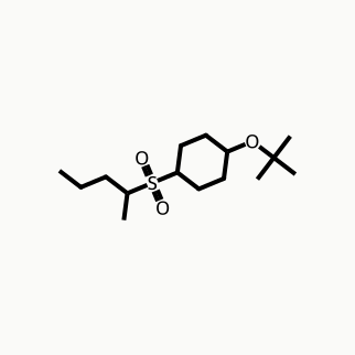 CCCC(C)S(=O)(=O)C1CCC(OC(C)(C)C)CC1